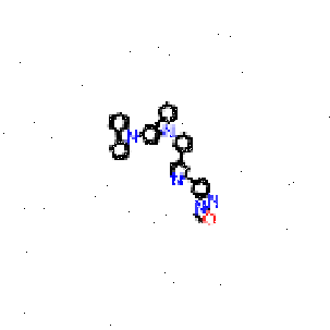 c1cc(-c2ccnc(-c3ccc4nc5occn5c4c3)c2)cc(-n2c3ccccc3c3cc(-n4c5ccccc5c5ccccc54)ccc32)c1